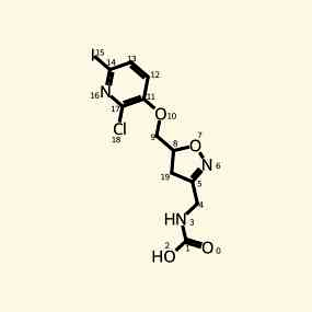 O=C(O)NCC1=NOC(COc2ccc(I)nc2Cl)C1